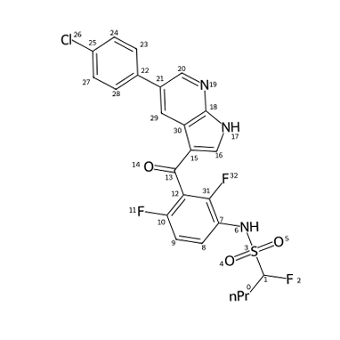 CCCC(F)S(=O)(=O)Nc1ccc(F)c(C(=O)c2c[nH]c3ncc(-c4ccc(Cl)cc4)cc23)c1F